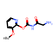 CCCCOc1cccnc1OC(=O)NC(=O)CN